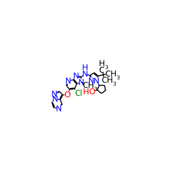 Cn1c(Nc2cc(C(C)(C)C)n(C3CCCC3O)n2)nc2ncc(Oc3cnn4ccncc34)c(Cl)c21